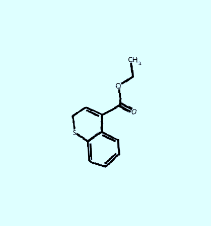 CCOC(=O)C1=CCSc2ccccc21